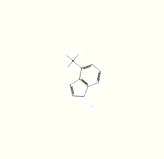 O[C@@H]1C=Cc2c1cccc2C(F)(F)F